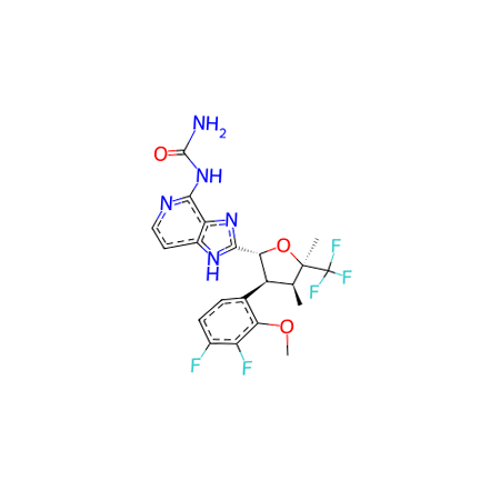 COc1c([C@H]2[C@H](c3nc4c(NC(N)=O)nccc4[nH]3)O[C@@](C)(C(F)(F)F)[C@H]2C)ccc(F)c1F